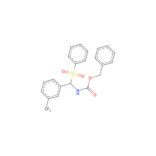 O=C(NC(c1cccc(C(F)(F)F)c1)S(=O)(=O)c1ccccc1)OCc1ccccc1